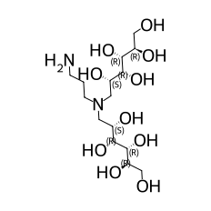 NCCCN(C[C@H](O)[C@@H](O)[C@H](O)[C@H](O)CO)C[C@H](O)[C@@H](O)[C@H](O)[C@H](O)CO